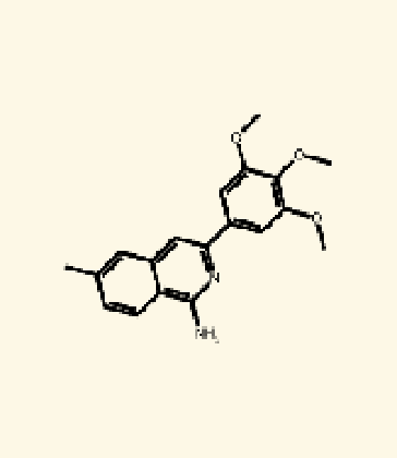 COc1cc(-c2cc3cc(C)ccc3c(N)n2)cc(OC)c1OC